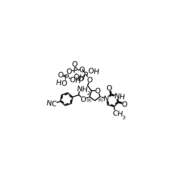 Cc1cn([C@H]2C[C@@H](OC(N)c3ccc(C#N)cc3)C(COP(=O)(O)OP(=O)(O)OP(=O)(O)O)O2)c(=O)[nH]c1=O